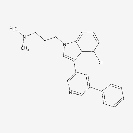 CN(C)CCCn1cc(-c2cncc(-c3ccccc3)c2)c2c(Cl)cccc21